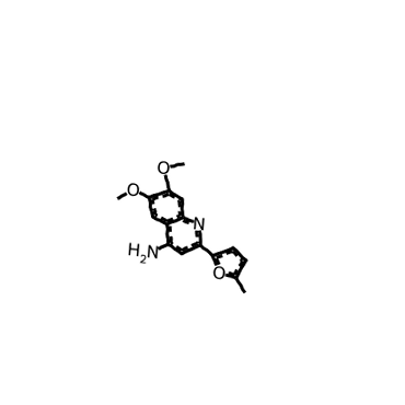 COc1cc2nc(-c3ccc(C)o3)cc(N)c2cc1OC